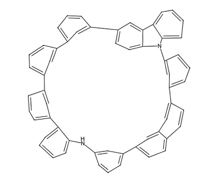 c1cc2cc(c1)c1ccc3ccc(cc3c1)c1cccc(c1)n1c3ccccc3c3cc(ccc31)c1cccc(c1)c1cccc(c1)c1cccc(c1)c1ccccc1[nH]2